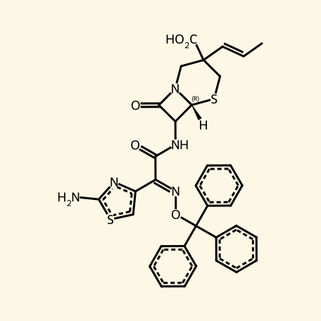 CC=CC1(C(=O)O)CS[C@@H]2C(NC(=O)C(=NOC(c3ccccc3)(c3ccccc3)c3ccccc3)c3csc(N)n3)C(=O)N2C1